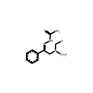 NC(=S)NN=C(CN(CCl)S(=O)(=O)O)c1ccccc1